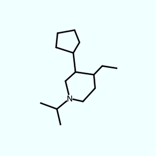 CCC1CCN(C(C)C)CC1C1CCCC1